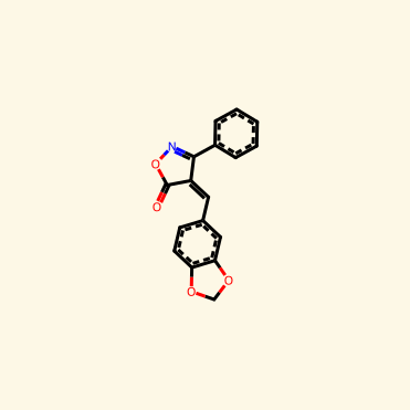 O=C1ON=C(c2ccccc2)/C1=C/c1ccc2c(c1)OCO2